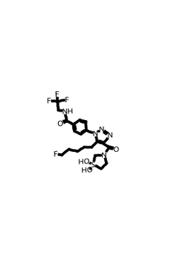 O=C(NCC(F)(F)F)c1ccc(-n2nnc(C(=O)N3CCS(O)(O)C3)c2CCCCCF)cc1